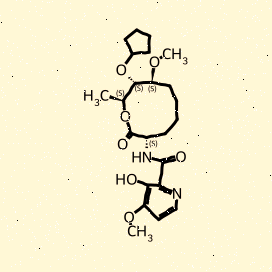 COc1ccnc(C(=O)N[C@H]2CCCC[C@H](OC)[C@@H](OC3CCCC3)[C@H](C)OC2=O)c1O